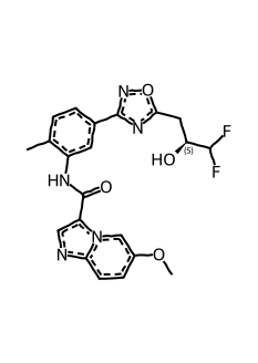 COc1ccc2ncc(C(=O)Nc3cc(-c4noc(C[C@H](O)C(F)F)n4)ccc3C)n2c1